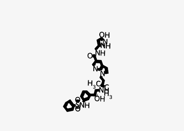 CC(C)(CCn1ccc2cc(C(=O)NCc3cc(O)n[nH]3)cnc21)NC[C@H](O)c1cccc(NS(=O)(=O)c2ccccc2)c1